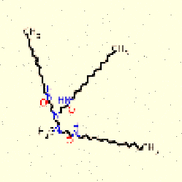 CCCCCCCCCCCCCCNC(=O)CCN(C)CCN(CCC(=O)NCCCCCCCCCCCCCC)CCC(=O)NCCCCCCCCCCCCCC